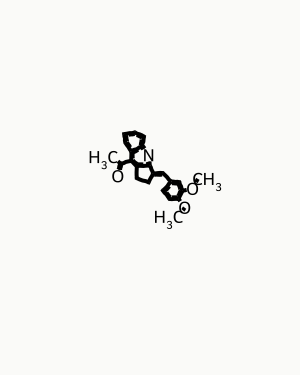 COc1ccc(/C=C2\CCc3c2nc2ccccc2c3C(C)=O)cc1OC